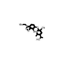 Cc1nc(Oc2ccc3c(nnn3CC(C)(C)C)c2Br)c(C#N)cc1C(C)O